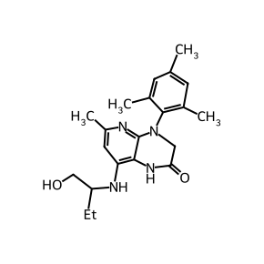 CCC(CO)Nc1cc(C)nc2c1NC(=O)CN2c1c(C)cc(C)cc1C